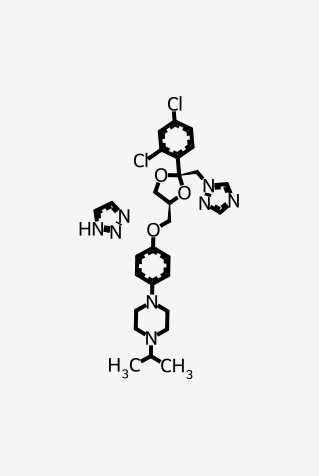 CC(C)N1CCN(c2ccc(OC[C@H]3CO[C@](Cn4cncn4)(c4ccc(Cl)cc4Cl)O3)cc2)CC1.c1c[nH]nn1